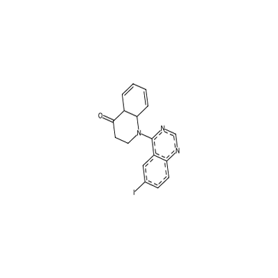 O=C1CCN(c2ncnc3ccc(I)cc23)C2C=CC=CC12